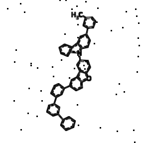 Cc1cccc(-c2ccc3c(c2)c2ccccc2n3-c2ccc3oc4ccc(-c5cccc(-c6cccc(-c7ccccc7)c6)c5)cc4c3c2)c1